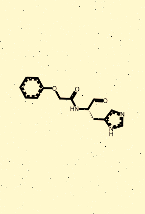 O=C[C@H](Cc1cnc[nH]1)NC(=O)COc1ccccc1